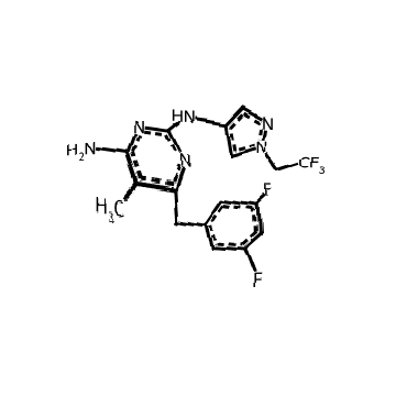 Cc1c(N)nc(Nc2cnn(CC(F)(F)F)c2)nc1Cc1cc(F)cc(F)c1